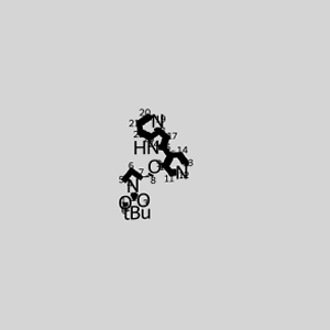 CC(C)(C)OC(=O)N1CC[C@@H]1COc1cnccc1-c1cc2ncccc2[nH]1